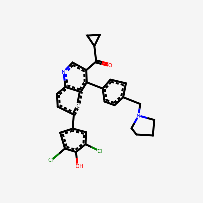 O=C(c1cnc2ccc(-c3cc(Cl)c(O)c(Cl)c3)cc2c1-c1ccc(CN2CCCC2)cc1)C1CC1